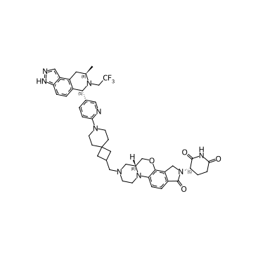 C[C@@H]1Cc2c(ccc3[nH]ncc23)[C@@H](c2ccc(N3CCC4(CC3)CC(CN3CCN5c6ccc7c(c6OC[C@H]5C3)CN([C@H]3CCC(=O)NC3=O)C7=O)C4)nc2)N1CC(F)(F)F